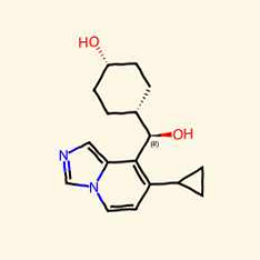 O[C@@H](c1c(C2CC2)ccn2cncc12)[C@H]1CC[C@@H](O)CC1